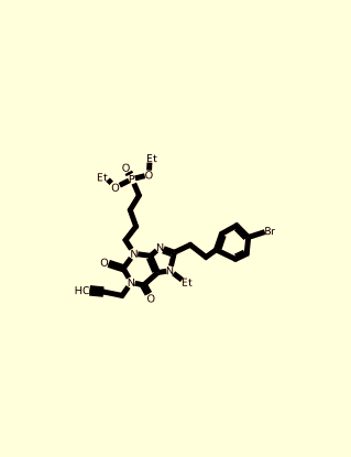 C#CCn1c(=O)c2c(nc(CCc3ccc(Br)cc3)n2CC)n(CCCCP(=O)(OCC)OCC)c1=O